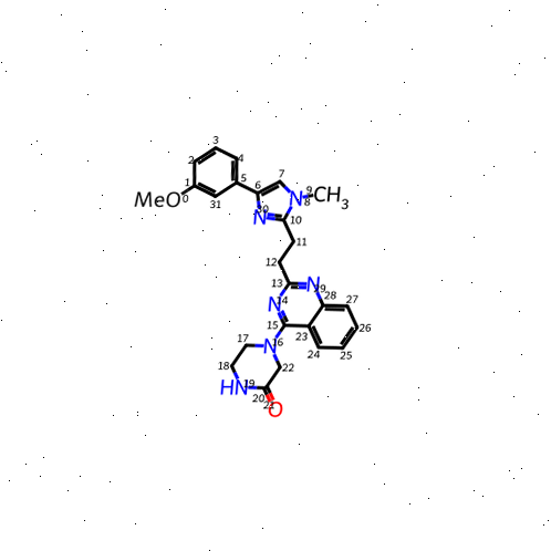 COc1cccc(-c2cn(C)c(CCc3nc(N4CCNC(=O)C4)c4ccccc4n3)n2)c1